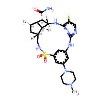 CN1CCN(c2cc3cc(c2)S(=O)(=O)NC[C@@H]2C[C@@H]4C[C@H]2[C@@H](Nc2nc(ncc2F)N3)[C@H]4C(N)=O)CC1